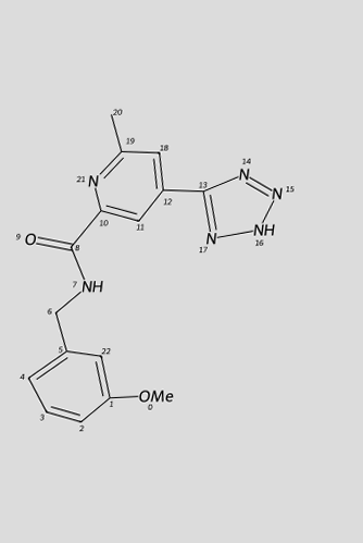 COc1cccc(CNC(=O)c2cc(-c3nn[nH]n3)cc(C)n2)c1